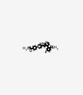 COC(=O)C1=CCC(N2CC=C(c3cc4c(-c5cc(F)ccc5OC)ccnc4[nH]3)CC2)CC1